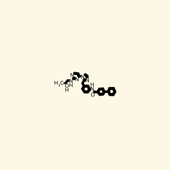 C[C@H](O)CNc1nccc(-n2ccnc2Cc2cccc(NC(=O)c3ccc(-c4ccccc4)cc3)c2)n1